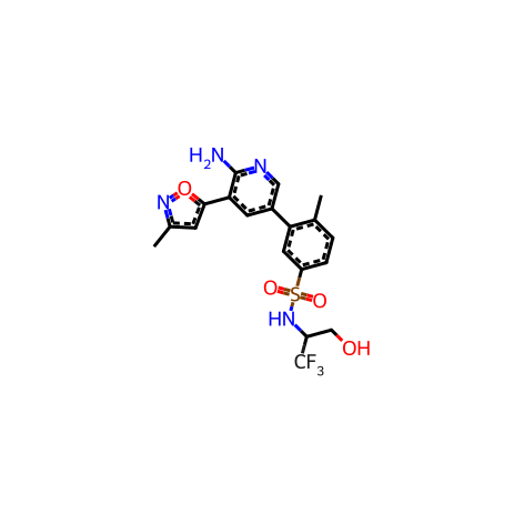 Cc1cc(-c2cc(-c3cc(S(=O)(=O)NC(CO)C(F)(F)F)ccc3C)cnc2N)on1